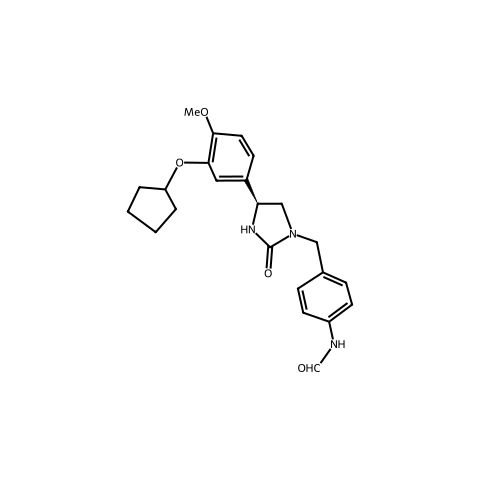 COc1ccc([C@H]2CN(Cc3ccc(NC=O)cc3)C(=O)N2)cc1OC1CCCC1